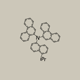 CC(C)c1cccc2c(N(c3cc4ccccc4c4ccccc34)c3cc4ccccc4c4ccccc34)cccc12